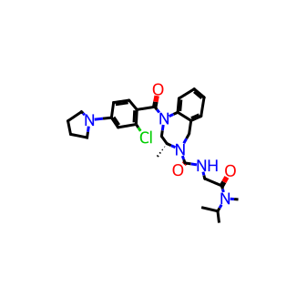 CC(C)N(C)C(=O)CNC(=O)N1Cc2ccccc2N(C(=O)c2ccc(N3CCCC3)cc2Cl)C[C@H]1C